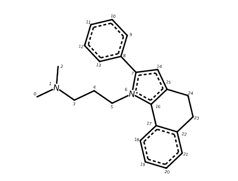 CN(C)CCCn1c(-c2ccccc2)cc2c1-c1ccccc1CC2